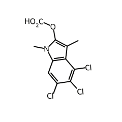 Cc1c(OC(=O)O)n(C)c2cc(Cl)c(Cl)c(Cl)c12